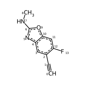 C#Cc1cc2nc(NC)oc2cc1F